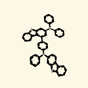 c1ccc(N(c2ccc(-c3cc(N(c4ccccc4)c4ccccc4)cc4sc5ccccc5c34)cc2)c2ccc3c(c2)sc2ccccc23)cc1